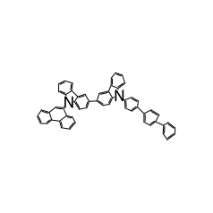 c1ccc(-c2ccc(-c3ccc(-n4c5ccccc5c5cc(-c6ccc7c(c6)c6ccccc6n7-c6cc7ccccc7c7ccccc67)ccc54)cc3)cc2)cc1